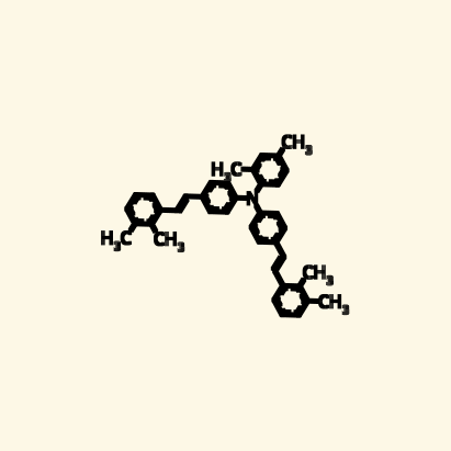 Cc1ccc(N(c2ccc(/C=C/c3cccc(C)c3C)cc2)c2ccc(/C=C/c3cccc(C)c3C)cc2)c(C)c1